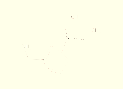 CCN(CC)c1cc[c]c(CN)c1